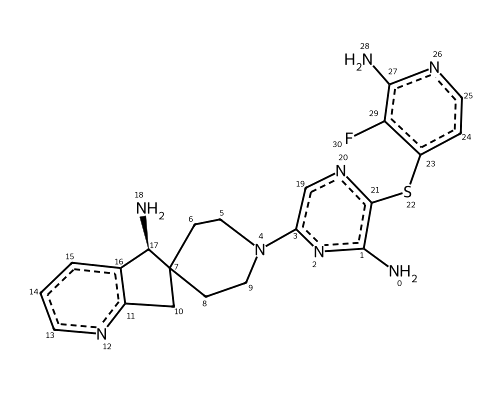 Nc1nc(N2CCC3(CC2)Cc2ncccc2[C@H]3N)cnc1Sc1ccnc(N)c1F